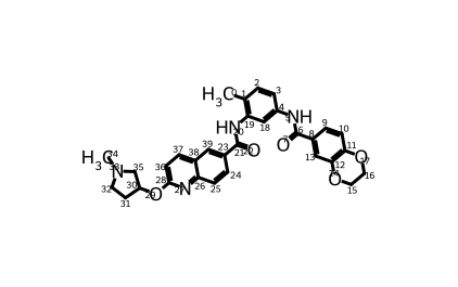 Cc1ccc(NC(=O)c2ccc3c(c2)OCCO3)cc1NC(=O)c1ccc2nc(OC3CCN(C)C3)ccc2c1